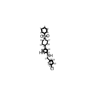 O=S(=O)(c1ccccc1)N1CCC(c2cc(NCc3ccc(Cl)s3)[nH]n2)CC1